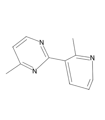 Cc1ccnc(-c2cccnc2C)n1